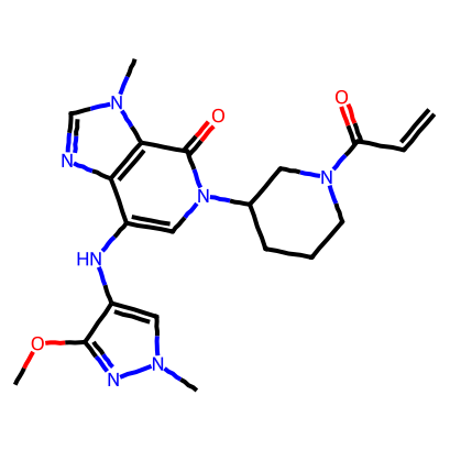 C=CC(=O)N1CCCC(n2cc(Nc3cn(C)nc3OC)c3ncn(C)c3c2=O)C1